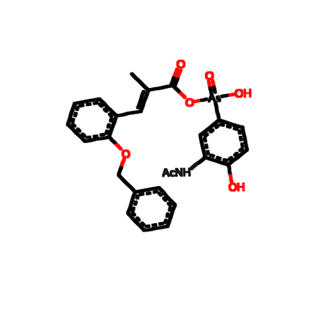 CC(=O)Nc1cc([As](=O)(O)OC(=O)C(C)=Cc2ccccc2OCc2ccccc2)ccc1O